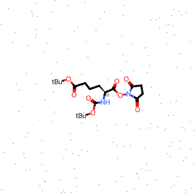 CC(C)(C)OC(=O)CCC[C@H](NC(=O)OC(C)(C)C)C(=O)ON1C(=O)CCC1=O